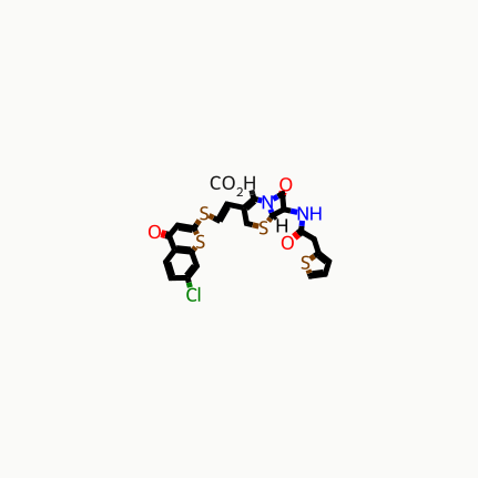 O=C(Cc1cccs1)NC1C(=O)N2C(C(=O)O)=C(C=CSc3cc(=O)c4ccc(Cl)cc4s3)CS[C@@H]12